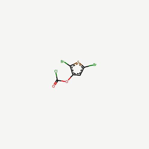 O=C(Cl)Oc1cc(Br)sc1Br